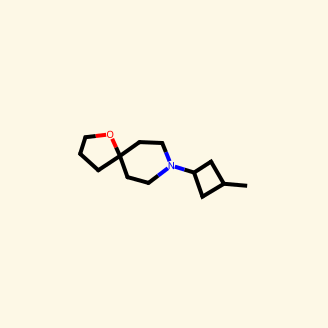 CC1CC(N2CCC3(CCCO3)CC2)C1